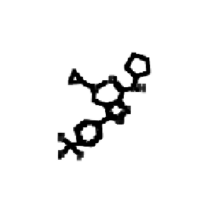 CN(Cc1c(C(=O)NC2CCCC2)noc1-c1ccc(C(F)(F)F)cc1)C1CC1